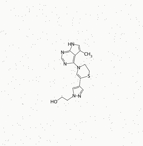 Cc1c[nH]c2ncnc(N3C=C(c4cnn(CCO)c4)SCC3)c12